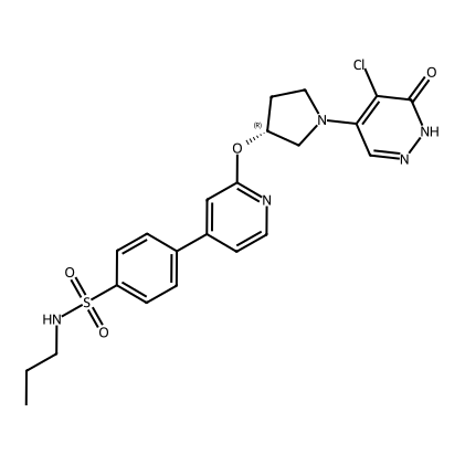 CCCNS(=O)(=O)c1ccc(-c2ccnc(O[C@@H]3CCN(c4cn[nH]c(=O)c4Cl)C3)c2)cc1